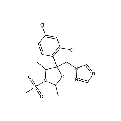 CC1OC(Cn2cncn2)(c2ccc(Cl)cc2Cl)C(C)N1S(C)(=O)=O